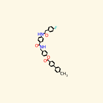 Cc1ccc(-c2ccc(C(=O)Oc3ccc(CNC(=O)c4ccc(NC(=O)Cc5ccc(F)cc5)cc4)cc3)cc2)cc1